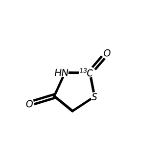 O=C1CS[13C](=O)N1